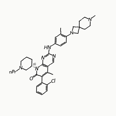 CCCN1CCC[C@H](n2c(=O)c(-c3ccccc3Cl)c(C)c3cnc(Nc4ccc(N5CC6(CCN(C)CC6)C5)c(C)c4)nc32)C1